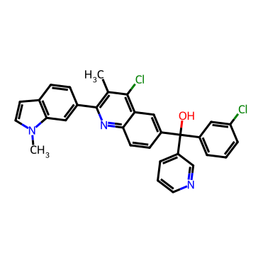 Cc1c(-c2ccc3ccn(C)c3c2)nc2ccc(C(O)(c3cccnc3)c3cccc(Cl)c3)cc2c1Cl